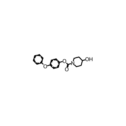 O=C(Oc1ccc(Oc2ccccc2)cc1)N1CCC(O)CC1